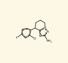 Nc1nc2n(n1)CCCC2c1ccc(F)cc1Cl